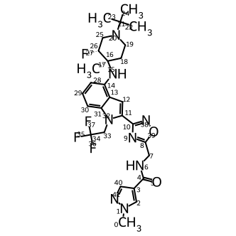 Cn1cc(C(=O)NCc2nc(-c3cc4c(N[C@]5(C)CCN(C(C)(C)C)C[C@H]5F)cccc4n3CC(F)(F)F)no2)cn1